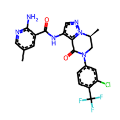 Cc1cnc(N)c(C(=O)Nc2cnn3c2C(=O)N(c2ccc(C(F)(F)F)c(Cl)c2)C[C@@H]3C)c1